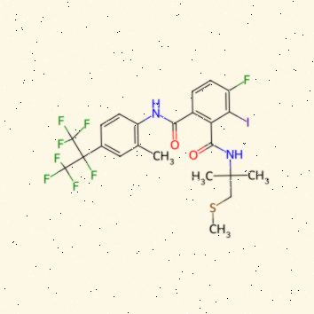 CSCC(C)(C)NC(=O)c1c(C(=O)Nc2ccc(C(F)(C(F)(F)F)C(F)(F)F)cc2C)ccc(F)c1I